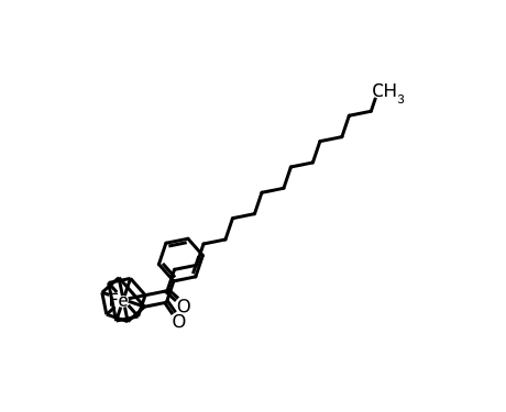 CCCCCCCCCCCCCCCC(=O)[C]12[CH]3[CH]4[CH]5[CH]1[Fe]45321678[CH]2[CH]1[CH]6[C]7(C(=O)c1ccccc1)[CH]28